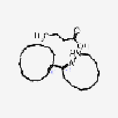 C1=C(/C2=N\NCCCCCCCC2)CCCCCCCCC/1.CCCC(=O)O